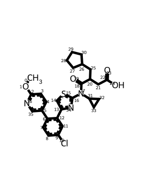 COc1ccc(-c2ccc(Cl)cc2-c2csc(N(C(=O)C(CC(=O)O)CC3CCCC3)C3CC3)n2)cn1